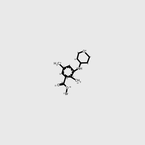 Cc1cc(NC2CCOCC2)c(C)c(C(=O)OBr)c1